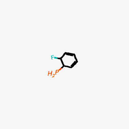 FC1C=CC=CC1P